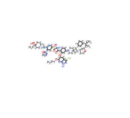 CCOc1nc2[nH]cc(F)c2cc1Oc1cc(N2CCC3(CC2)CC([C@H]2CCOC[C@H]2c2ccccc2C(C)C)C3)ccc1C(=O)NS(=O)(=O)c1cnc(NC[C@H]2CC[C@](C)(O)CC2)c([NH+](C)[O-])c1